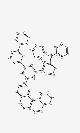 c1ccc(-c2cccc(-c3nc(-c4ccc5cnc6ccc7ccccc7c6c5c4)nc(-c4cccc5c4c4ccccc4n5-c4ccccc4)n3)c2)cc1